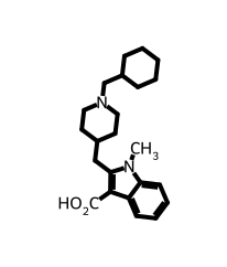 Cn1c(CC2CCN(CC3CCCCC3)CC2)c(C(=O)O)c2ccccc21